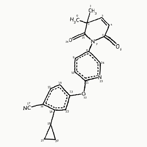 CC1(C)C=CC(=O)N(c2ccc(Oc3ccc(C#N)c(C4CC4)c3)nc2)C1=O